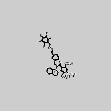 O=C(O)c1cc(C(=O)O)c(C(=O)N(Cc2cccc(C=NOCc3c(F)c(F)c(F)c(F)c3F)c2)[C@H]2CCCc3ccccc32)cc1C(=O)O